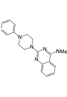 CNc1nc(N2CCN(c3ccccc3)CC2)nc2ccccc12